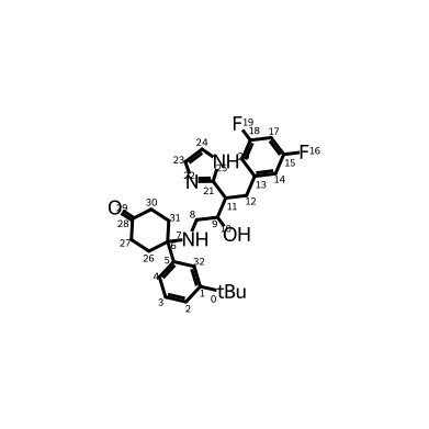 CC(C)(C)c1cccc(C2(NCC(O)C(Cc3cc(F)cc(F)c3)c3ncc[nH]3)CCC(=O)CC2)c1